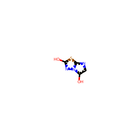 Oc1nn2c(O)cnc2s1